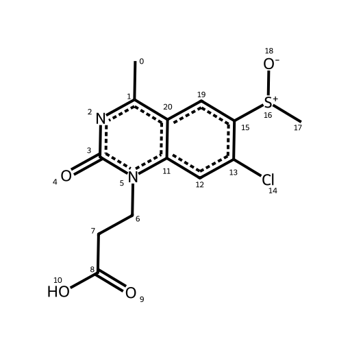 Cc1nc(=O)n(CCC(=O)O)c2cc(Cl)c([S+](C)[O-])cc12